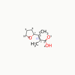 C/C(C(=O)O)=C(/C)C1CCCO1